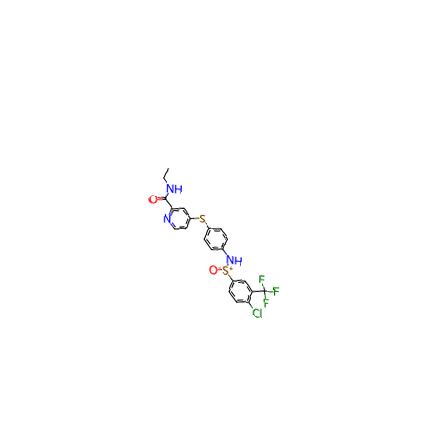 CCNC(=O)c1cc(Sc2ccc(N[S+]([O-])c3ccc(Cl)c(C(F)(F)F)c3)cc2)ccn1